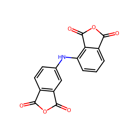 O=C1OC(=O)c2cc(Nc3cccc4c3C(=O)OC4=O)ccc21